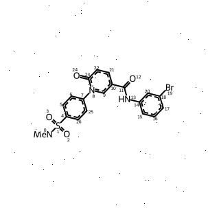 CNS(=O)(=O)c1ccc(-n2cc(C(=O)Nc3cccc(Br)c3)ccc2=O)cc1